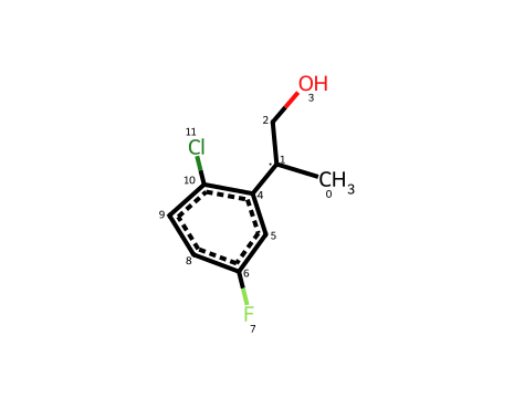 C[C](CO)c1cc(F)ccc1Cl